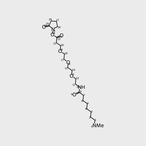 CNCCCCCCCC(=O)NCCOCCOCCOCCC(=O)ON1CCCC1=O